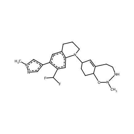 CN1NCCC2=CC(N3CCCc4cc(-c5cnn(C)c5)c(C(F)F)cc43)CCC2O1